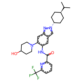 CC(C)[C@H]1CC[C@H](n2cc3cc(NC(=O)c4cccc(C(F)(F)F)n4)c(N4CCC(O)CC4)cc3n2)CC1